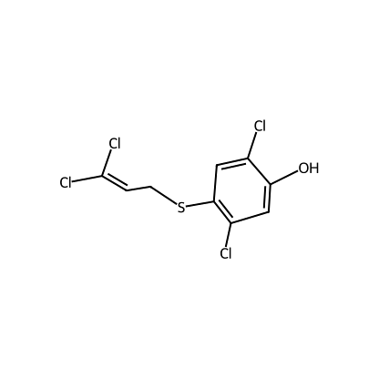 Oc1cc(Cl)c(SCC=C(Cl)Cl)cc1Cl